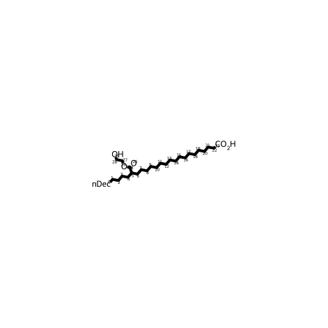 CCCCCCCCCCCCCCC(CCCCCCCCCCCCCCCCCC(=O)O)C(=O)OCCO